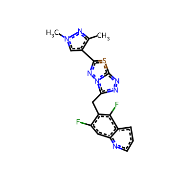 Cc1nn(C)cc1-c1nn2c(Cc3c(F)cc4ncccc4c3F)nnc2s1